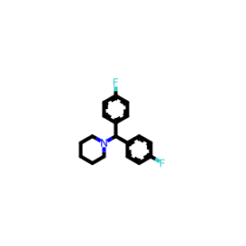 Fc1ccc(C(c2ccc(F)cc2)N2CCCCC2)cc1